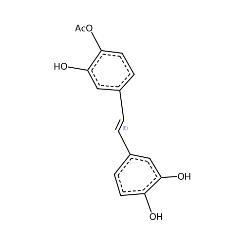 CC(=O)Oc1ccc(/C=C/c2ccc(O)c(O)c2)cc1O